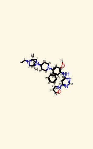 CCN1C[C@H]2C[C@@H]1CN2C1CCN(c2ccc(Nc3cc(N4OCC[C@@H]4c4ccccc4)ncn3)c(OC)c2)CC1